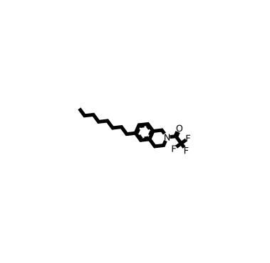 CCCCCCCCc1ccc2c(c1)CCN(C(=O)C(F)(F)F)C2